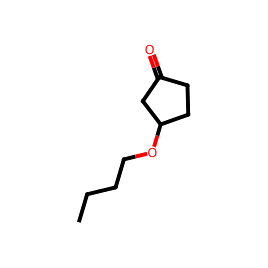 CCCCOC1CCC(=O)C1